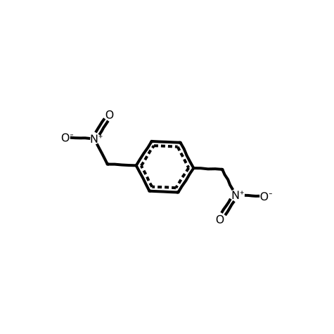 O=[N+]([O-])Cc1ccc(C[N+](=O)[O-])cc1